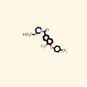 CCOC(=O)C[C@H]1CCCN(C(CC)c2ccc3c(C(F)(F)F)c(OC4CCC(C(F)(F)F)CC4)ccc3c2)C1